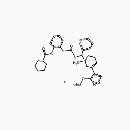 CCCCCCOc1nsnc1C1=CCC[N+](C)(C(OC(=O)Cc2ccccc2OC(=O)C2CCCCC2)c2ccccc2)C1.[I-]